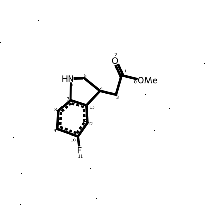 COC(=O)CC1CNc2ccc(F)cc21